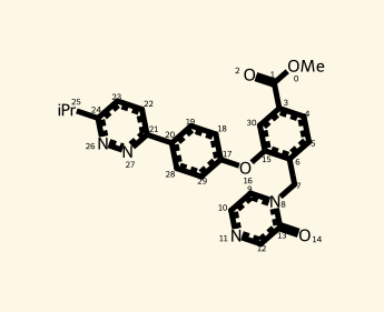 COC(=O)c1ccc(Cn2ccncc2=O)c(Oc2ccc(-c3ccc(C(C)C)nn3)cc2)c1